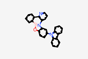 c1ccc2c(c1)B1Oc3ccc(-n4c5ccccc5c5ccccc54)cc3N1c1cccnc1-2